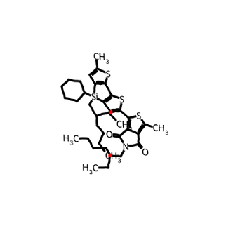 CCCCC(CC)CN1C(=O)c2c(C)sc(-c3cc4c(s3)-c3sc(C)cc3[Si]4(CC(CC)CCCC)C3CCCCC3)c2C1=O